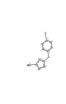 CC(C)(C)c1nnc(Cc2ccc(F)cc2)s1